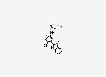 Cn1c(-c2cc(N3C[C@@H](O)[C@@H](O)C3)ncc2Cl)nc2ccccc21